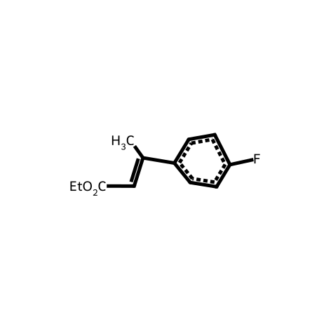 CCOC(=O)C=C(C)c1ccc(F)cc1